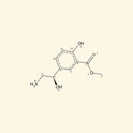 COC(=O)c1cc([C@@H](O)CN)ccc1O